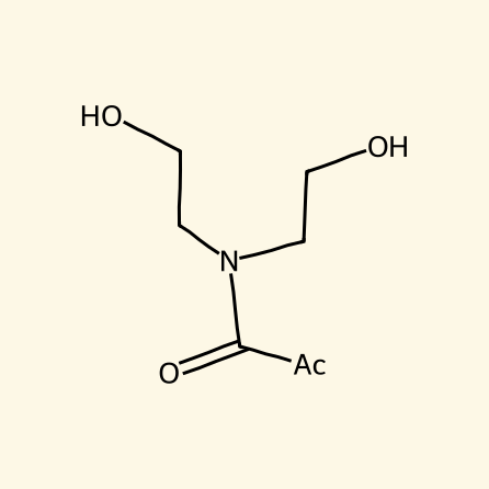 CC(=O)C(=O)N(CCO)CCO